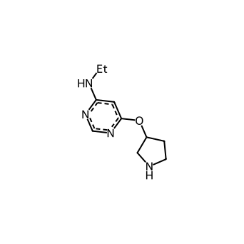 CCNc1cc(OC2CCNC2)ncn1